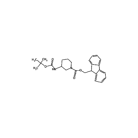 CC(C)(C)OC(=O)NC1CCCN(C(=O)OCC2c3ccccc3-c3ccccc32)C1